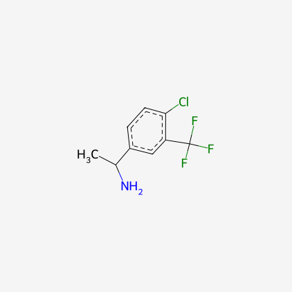 CC(N)c1ccc(Cl)c(C(F)(F)F)c1